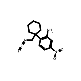 Nc1cc([N+](=O)[O-])ccc1C1(CN=C=S)CCCCC1